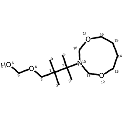 CC(C)(COCO)C(C)(C)N1COCCCCOC1